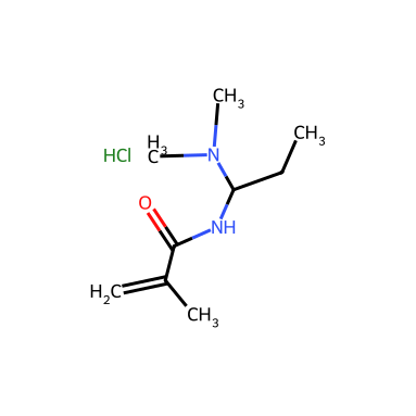 C=C(C)C(=O)NC(CC)N(C)C.Cl